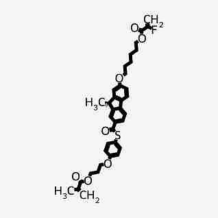 C=C(C)C(=O)OCCCOc1ccc(SC(=O)c2ccc3c(c2)[C@@H](C)c2cc(OCCCCCCOC(=O)C(=C)F)ccc2-3)cc1